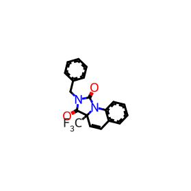 O=C1N(Cc2ccccc2)C(=O)C2(C(F)(F)F)C=Cc3ccccc3N12